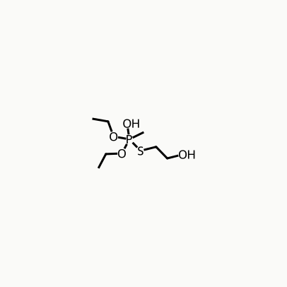 CCOP(C)(O)(OCC)SCCO